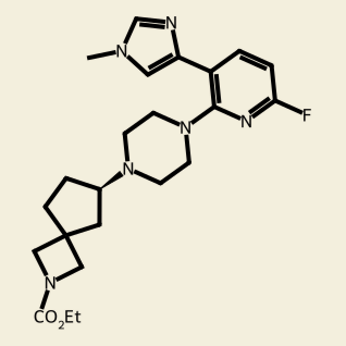 CCOC(=O)N1CC2(CC[C@@H](N3CCN(c4nc(F)ccc4-c4cn(C)cn4)CC3)C2)C1